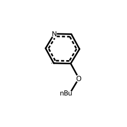 CCCCOc1[c]cncc1